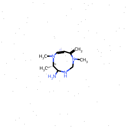 C=C1/C=C\N(C)[C@@H](C)C(N)NCN1C